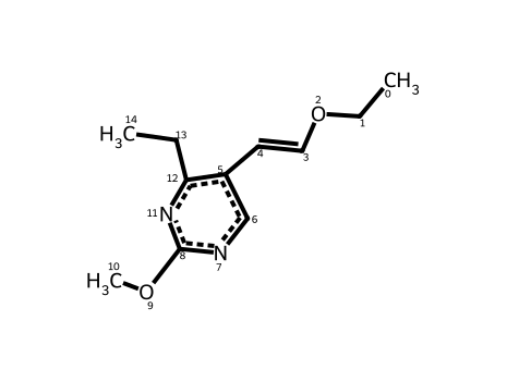 CCOC=Cc1cnc(OC)nc1CC